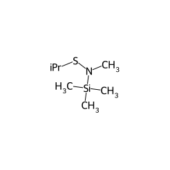 CC(C)SN(C)[Si](C)(C)C